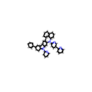 c1ccc(-c2ccc3c(c2)c2cc4c(cc2n3-c2ccccn2)N(c2ccc(-c3ccccn3)cn2)c2cccc3cccc-4c23)cc1